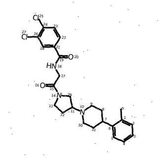 Cc1ccccc1C1CCN(C2CCN(C(=O)CNC(=O)c3ccc(Cl)c(Cl)c3)C2)CC1